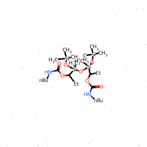 CCCCNC(=O)OC(CC)[Si](C)(O[Si](C)(C)C)O[Si](C)(O[Si](C)(C)C)C(CC)OC(=O)NCCCC